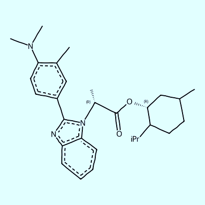 Cc1cc(-c2nc3ccccc3n2[C@H](C)C(=O)O[C@@H]2CC(C)CCC2C(C)C)ccc1N(C)C